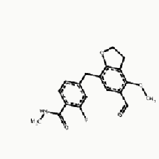 CNC(=O)c1ccc(Cc2cc(C=O)c(OC)c3c2OCC3)cc1F